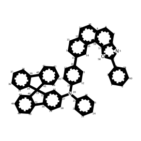 c1ccc(-c2nc3ccc4ccc5ccc(-c6ccc(N(c7ccccc7)c7ccc8c(c7)C7(c9ccccc9-c9ccccc97)c7ccccc7-8)cc6)cc5c4c3o2)cc1